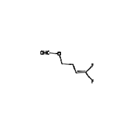 O=COCCC=C(F)F